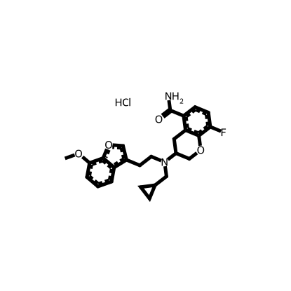 COc1cccc2c(CCN(CC3CC3)C3COc4c(F)ccc(C(N)=O)c4C3)coc12.Cl